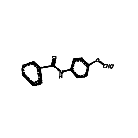 O=COc1ccc(NC(=O)c2ccccc2)cc1